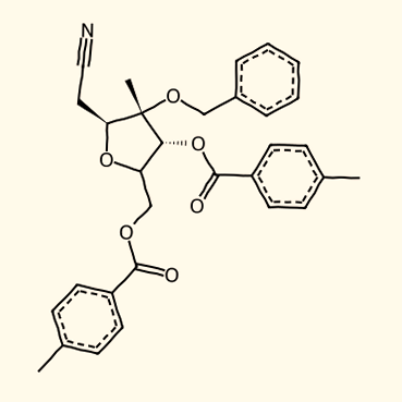 Cc1ccc(C(=O)OCC2O[C@@H](CC#N)[C@](C)(OCc3ccccc3)[C@@H]2OC(=O)c2ccc(C)cc2)cc1